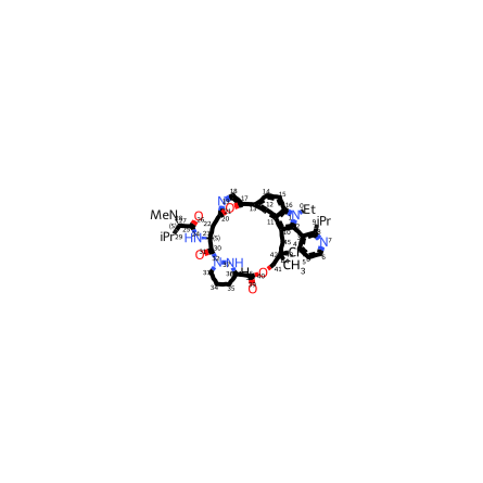 CCn1c(-c2cccnc2C(C)C)c2c3cc(ccc31)-c1cnc(o1)C[C@H](NC(=O)[C@@H](NC)C(C)C)C(=O)N1CCC[C@H](N1)C(=O)OCC(C)(C)C2